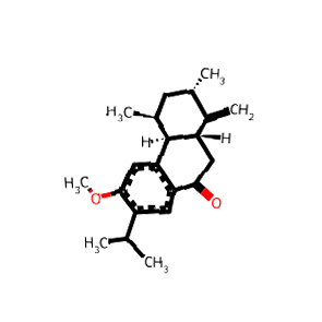 C=C1[C@@H](C)C[C@H](C)[C@@H]2c3cc(OC)c(C(C)C)cc3C(=O)C[C@@H]12